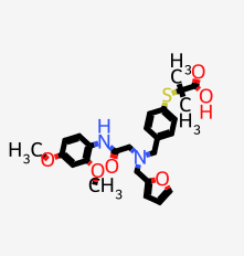 COc1ccc(NC(=O)CN(Cc2ccc(SC(C)(C)C(=O)O)cc2)Cc2ccco2)c(OC)c1